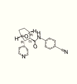 N#Cc1ccc(NC(=O)[C@H]2[C@H](c3ccncc3)[C@@H]3CC[C@H]2O3)cc1